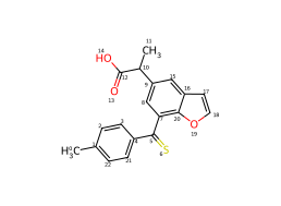 Cc1ccc(C(=S)c2cc(C(C)C(=O)O)cc3ccoc23)cc1